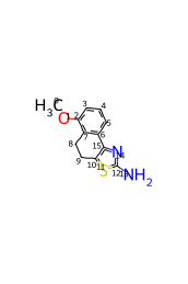 COc1cccc2c1CCc1sc(N)nc1-2